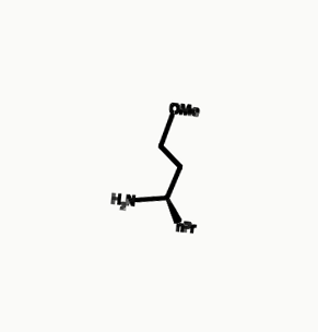 CCC[C@@H](N)CCOC